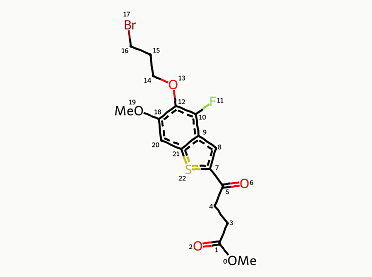 COC(=O)CCC(=O)c1cc2c(F)c(OCCCBr)c(OC)cc2s1